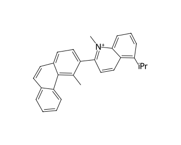 Cc1c(-c2ccc3c(C(C)C)cccc3[n+]2C)ccc2ccc3ccccc3c12